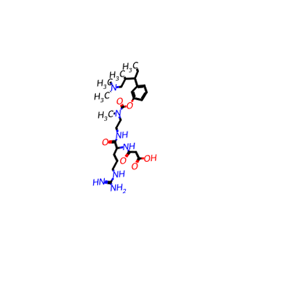 CCC(c1cccc(OC(=O)N(C)CCNC(=O)C(CCCNC(=N)N)NC(=O)CC(=O)O)c1)C(C)CN(C)C